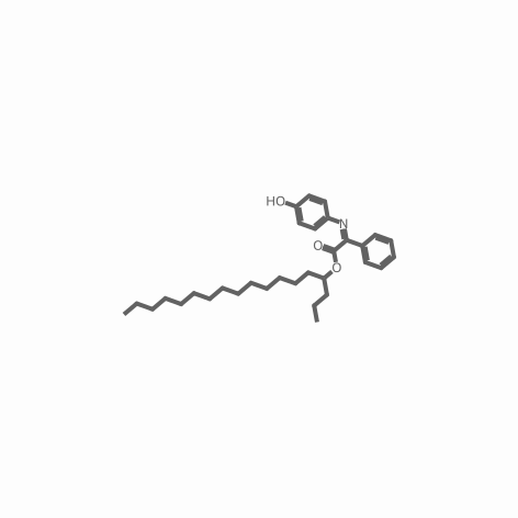 CCCCCCCCCCCCCCC(CCC)OC(=O)C(=Nc1ccc(O)cc1)c1ccccc1